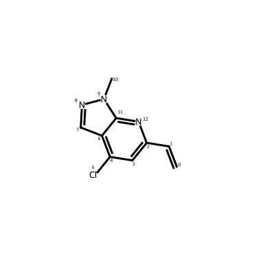 C=Cc1cc(Cl)c2cnn(C)c2n1